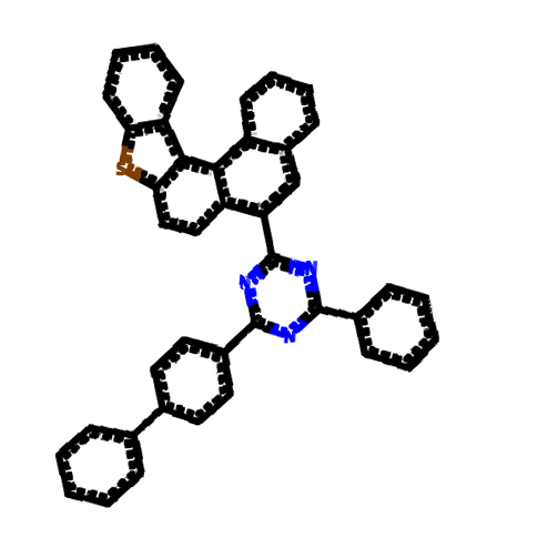 c1ccc(-c2ccc(-c3nc(-c4ccccc4)nc(-c4cc5ccccc5c5c4ccc4sc6ccccc6c45)n3)cc2)cc1